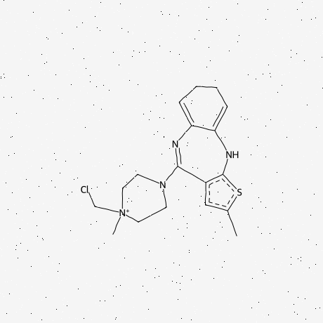 Cc1cc2c(s1)NC1=CCCC=C1N=C2N1CC[N+](C)(CCl)CC1